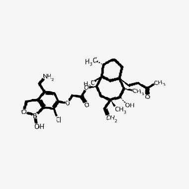 C=C[C@]1(C)C[C@@H](OC(=O)COc2cc(CN)c3c(c2Cl)B(O)OC3)[C@@]2(C)C[C@](CCC(C)=O)(CC[C@H]2C)[C@@H](C)[C@@H]1O